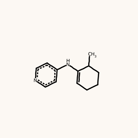 CC1CCCC=C1Nc1ccncc1